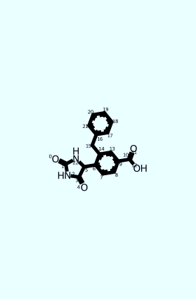 O=C1NC(=O)C(c2ccc(C(=O)O)cc2Cc2ccccc2)N1